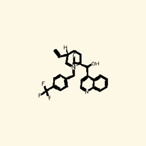 C=C[C@H]1C[N+]2(Cc3ccc(C(F)(F)F)cc3)CCC1CC2C(O)c1ccnc2ccccc12